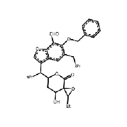 CCCC(c1coc2c(C=O)c(OCc3ccccc3)c(CC(C)C)cc12)C1CC(O)C2(OC2CC)C(=O)O1